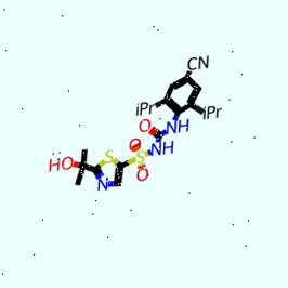 CC(C)c1cc(C#N)cc(C(C)C)c1NC(=O)NS(=O)(=O)c1cnc(C(C)(C)O)s1